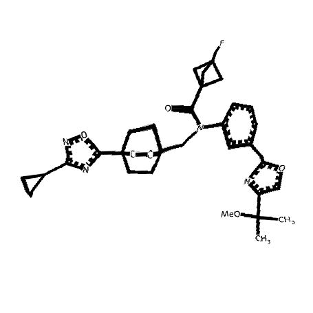 COC(C)(C)c1coc(-c2cccc(N(CC34CCC(c5nc(C6CC6)no5)(CC3)CC4)C(=O)C34CC(F)(C3)C4)c2)n1